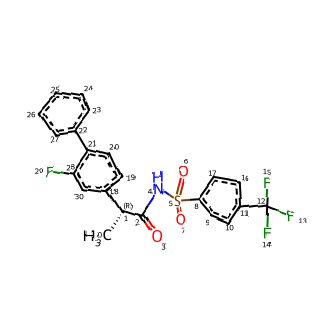 C[C@@H](C(=O)NS(=O)(=O)c1ccc(C(F)(F)F)cc1)c1ccc(-c2ccccc2)c(F)c1